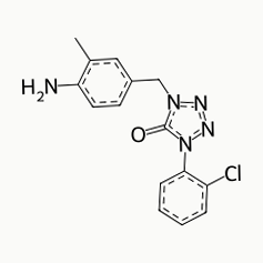 Cc1cc(Cn2nnn(-c3ccccc3Cl)c2=O)ccc1N